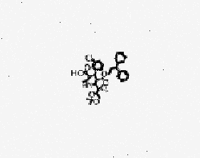 COC(C1=C(C(=O)OCCC(c2ccccc2)c2ccccc2)C(c2cccc(Cl)c2)C(C(=O)O)=C(C)N1)C1COC(C)(C)O1